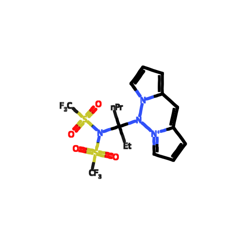 CCCC(CC)(N(S(=O)(=O)C(F)(F)F)S(=O)(=O)C(F)(F)F)n1n2cccc2cc2ccc[n+]1-2